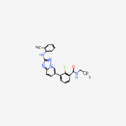 N#Cc1ccccc1Nc1nc2ccc(-c3cccc(C(=O)NCC(F)(F)F)c3F)cn2n1